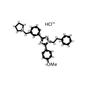 COc1ccc(-c2nc(-c3cccc(CN4CCCC4)c3)nn2CCc2ccccc2)cc1.Cl